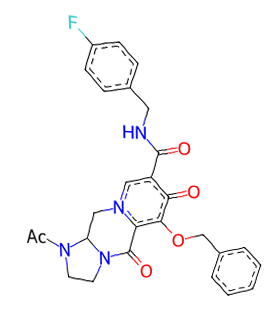 CC(=O)N1CCN2C(=O)c3c(OCc4ccccc4)c(=O)c(C(=O)NCc4ccc(F)cc4)cn3CC12